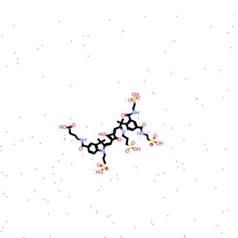 CC1(C)C(/C=C2\C(=O)C(/C=C3/N(CCCS(=O)(=O)O)c4ccc(C(=O)NCCCC(=O)O)cc4C3(C)C)=C2O)=[N+](CCCS(=O)(=O)O)c2cc(C(=O)NCCS(=O)(=O)O)cc(C(=O)NCCS(=O)(=O)O)c21